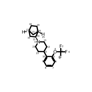 FC(F)(F)Oc1ccccc1C1CCN([C@H]2C[C@H]3CC[C@H]2C3)CC1